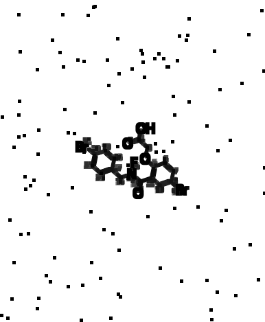 O=C(O)COc1ccc(Br)cc1C(=O)N(F)Cc1ccc(Br)cc1